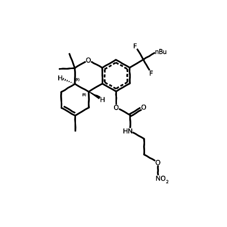 CCCCC(F)(F)c1cc(OC(=O)NCCO[N+](=O)[O-])c2c(c1)OC(C)(C)[C@@H]1CC=C(C)C[C@@H]21